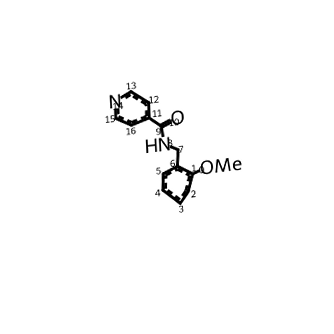 COc1ccccc1CNC(=O)c1ccncc1